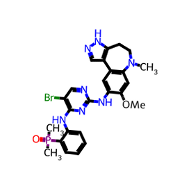 COc1cc2c(cc1Nc1ncc(Br)c(Nc3ccccc3P(C)(C)=O)n1)-c1cn[nH]c1CCN2C